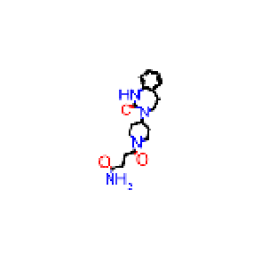 NC(=O)CCC(=O)N1CCC(N2CCc3ccccc3NC2=O)CC1